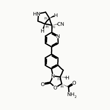 N#C[C@]1(c2ccc(-c3ccc4c(c3)C[C@H]3[C@H](C(N)=O)OC(=O)N43)cn2)[C@@H]2CNC[C@@H]21